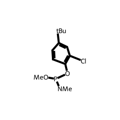 CNP(OC)Oc1ccc(C(C)(C)C)cc1Cl